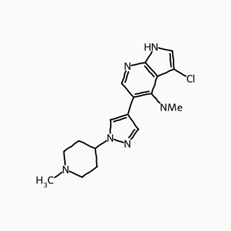 CNc1c(-c2cnn(C3CCN(C)CC3)c2)cnc2[nH]cc(Cl)c12